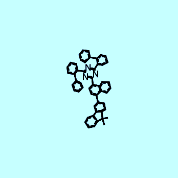 CC1(C)c2ccccc2-c2cc(-c3ccc(-c4nc(-c5ccccc5-c5ccccc5)nc(-c5ccccc5-c5ccccc5)n4)c4ccccc34)ccc21